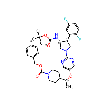 C[C@H](Oc1cnc(N2C[C@H](NC(=O)OC(C)(C)C)[C@@H](c3cc(F)ccc3F)C2)nc1)C1CCN(C(=O)OCc2ccccc2)CC1